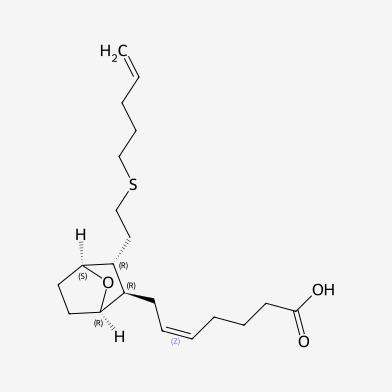 C=CCCCSCC[C@@H]1[C@@H](C/C=C\CCCC(=O)O)[C@H]2CC[C@@H]1O2